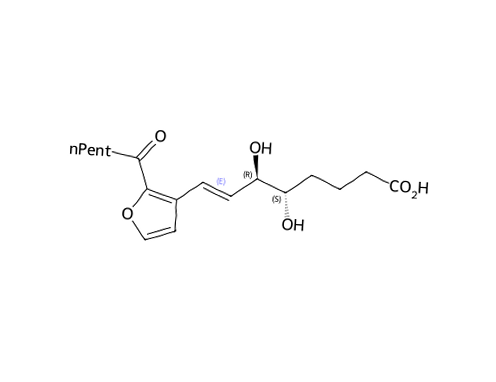 CCCCCC(=O)c1occc1/C=C/[C@@H](O)[C@@H](O)CCCC(=O)O